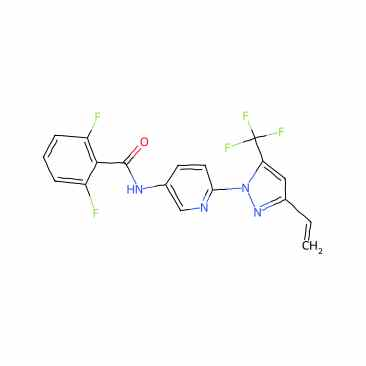 C=Cc1cc(C(F)(F)F)n(-c2ccc(NC(=O)c3c(F)cccc3F)cn2)n1